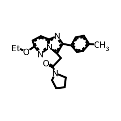 CCOc1ccc2nc(-c3ccc(C)cc3)c(CC(=O)N3CCCC3)n2n1